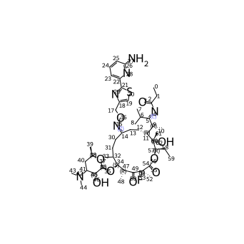 CCC(=O)/N=C(\C(C)C)[C@H](C)[C@H]1CC/C(=N\OCc2csc(-c3cccc(N)n3)n2)CCC(C)[C@H](O[C@@H]2O[C@H](C)CC(N(C)C)[C@H]2O)[C@@H](C)C(=O)[C@](C)(F)C(=O)O[C@H](CC)[C@@]1(C)O